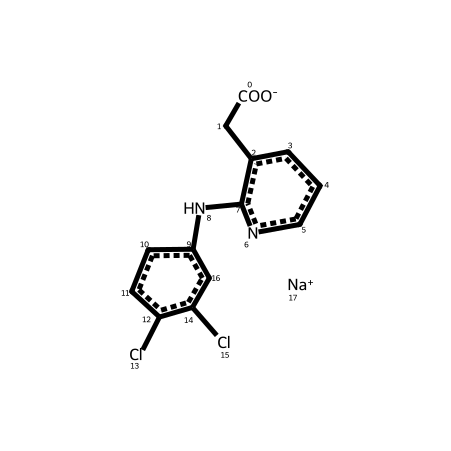 O=C([O-])Cc1cccnc1Nc1ccc(Cl)c(Cl)c1.[Na+]